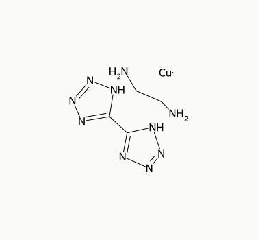 NCCN.[Cu].n1n[nH]c(-c2nnn[nH]2)n1